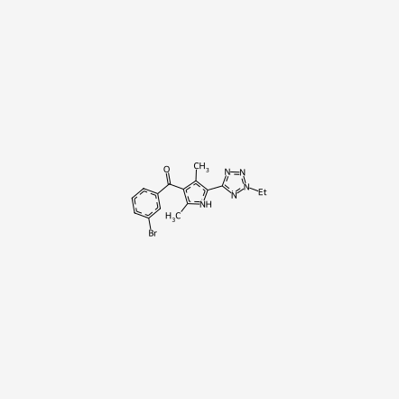 CCn1nnc(-c2[nH]c(C)c(C(=O)c3cccc(Br)c3)c2C)n1